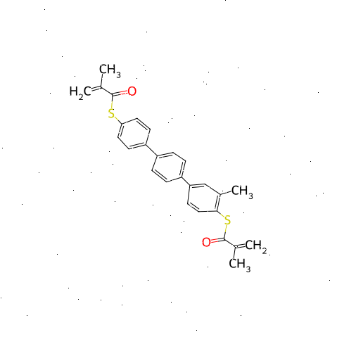 C=C(C)C(=O)Sc1ccc(-c2ccc(-c3ccc(SC(=O)C(=C)C)c(C)c3)cc2)cc1